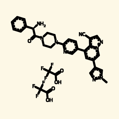 Cn1cc(-c2cc(-c3ccc(N4CCN(C(=O)[C@H](N)c5ccccc5)CC4)nc3)c3c(C#N)cnn3c2)cn1.O=C(O)C(F)(F)F.O=C(O)C(F)(F)F